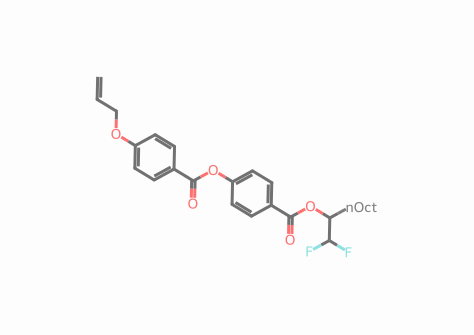 C=CCOc1ccc(C(=O)Oc2ccc(C(=O)OC(CCCCCCCC)C(F)F)cc2)cc1